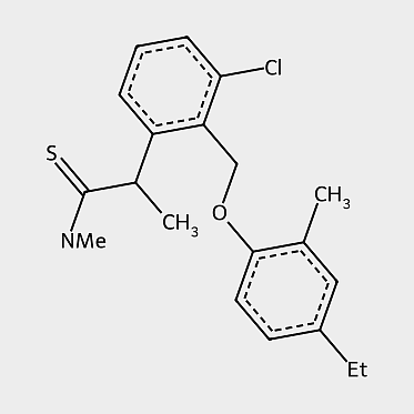 CCc1ccc(OCc2c(Cl)cccc2C(C)C(=S)NC)c(C)c1